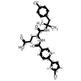 CC(C)(Cc1ccc(Cl)cc1)NC(=O)[C@H](CCC(=O)O)NC(=O)c1ccc(-c2ccc(Cl)s2)nc1